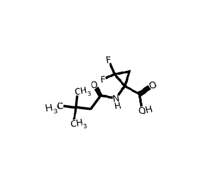 CC(C)(C)CC(=O)NC1(C(=O)O)CC1(F)F